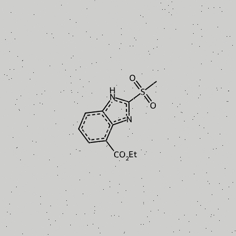 CCOC(=O)c1cccc2[nH]c(S(C)(=O)=O)nc12